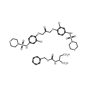 O=C(COc1ccc(NS(=O)(=O)N2CCSCC2)cc1Cl)COc1ccc(NS(=O)(=O)N2CCSCC2)cc1Cl.O=C(O)C[C@H](NC(=O)OCc1ccccc1)C(=O)O